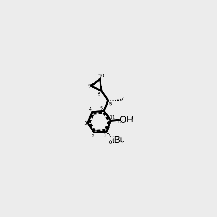 CC[C@@H](C)c1cccc([C@@H](C)C2CC2)c1O